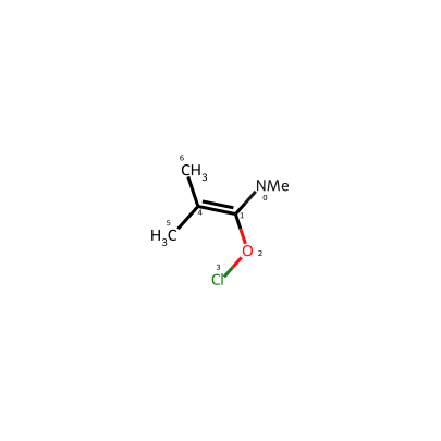 CNC(OCl)=C(C)C